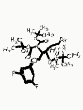 CC(C)(C)OC(=O)N(C(=O)OC(C)(C)C)C(COc1cc(F)cc(F)c1)C(CCO)O[Si](C)(C)C(C)(C)C